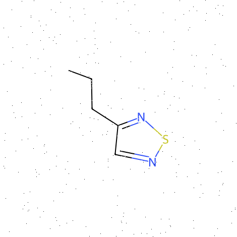 CCCc1cnsn1